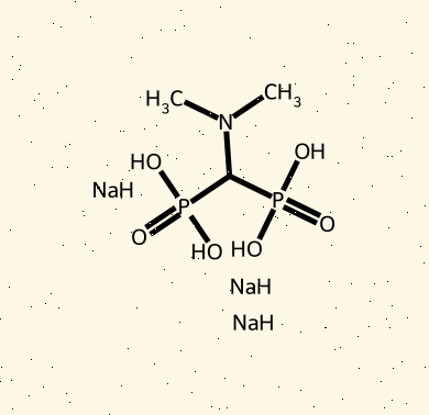 CN(C)C(P(=O)(O)O)P(=O)(O)O.[NaH].[NaH].[NaH]